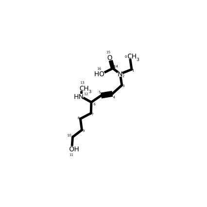 CCN(CC#CC(CCCCO)NC)C(=O)O